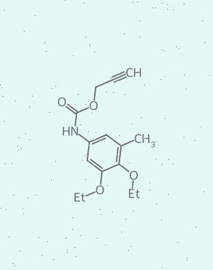 C#CCOC(=O)Nc1cc(C)c(OCC)c(OCC)c1